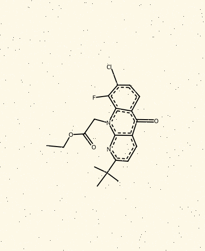 CCOC(=O)Cn1c2nc(C(C)(C)C)ccc2c(=O)c2ccc(Cl)c(F)c21